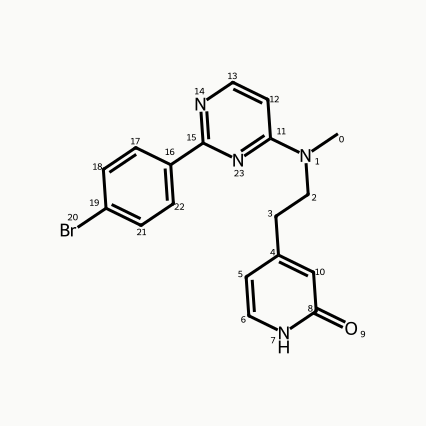 CN(CCc1cc[nH]c(=O)c1)c1ccnc(-c2ccc(Br)cc2)n1